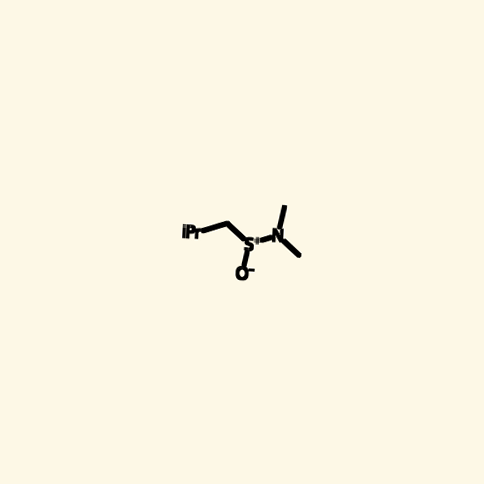 CC(C)C[S+]([O-])N(C)C